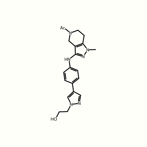 CC(=O)N1CCc2c(c(Nc3ccc(-c4cnn(CCO)c4)cc3)nn2C)C1